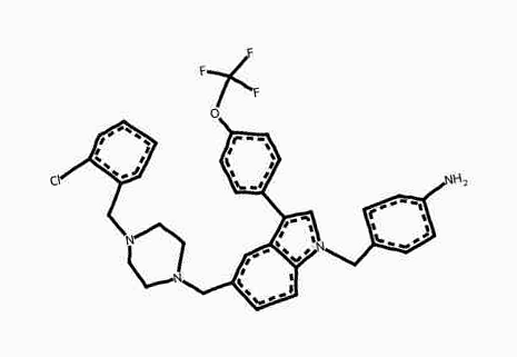 Nc1ccc(Cn2cc(-c3ccc(OC(F)(F)F)cc3)c3cc(CN4CCN(Cc5ccccc5Cl)CC4)ccc32)cc1